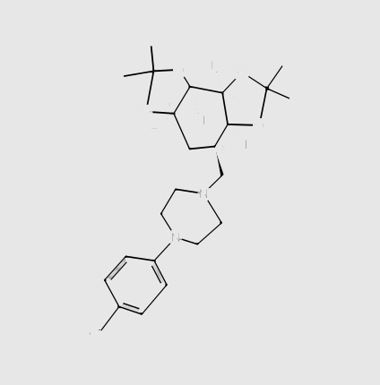 CC1(C)O[C@H]2[C@@H](O1)[C@@H](CN1CCN(c3ccc(Cl)cc3)CC1)C[C@H]1OC(C)(C)O[C@@H]21